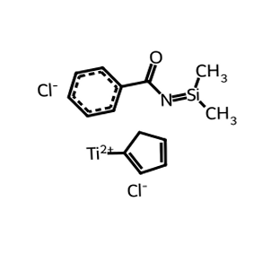 C[Si](C)=NC(=O)c1ccccc1.[Cl-].[Cl-].[Ti+2][C]1=CC=CC1